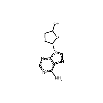 Nc1ncnc2c1ncn2[C@@H]1CCC(O)O1